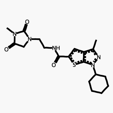 Cc1nn(C2CCCCC2)c2sc(C(=O)NCCN3CC(=O)N(C)C3=O)cc12